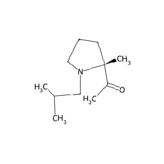 CC(=O)[C@@]1(C)CCCN1CC(C)C